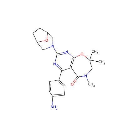 CN1CC(C)(C)Oc2nc(N3CC4CCC(C3)O4)nc(-c3ccc(N)cc3)c2C1=O